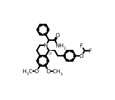 COc1cc2c(cc1OC)[C@H](CCc1ccc(OC(F)F)cc1)N(C(C(N)=O)c1ccccc1)CC2